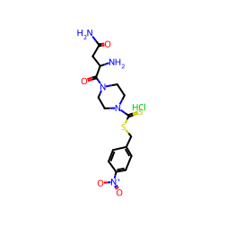 Cl.NC(=O)CC(N)C(=O)N1CCN(C(=S)SCc2ccc([N+](=O)[O-])cc2)CC1